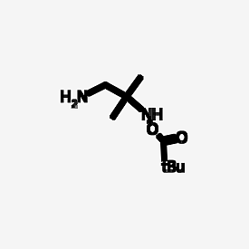 CC(C)(CN)NOC(=O)C(C)(C)C